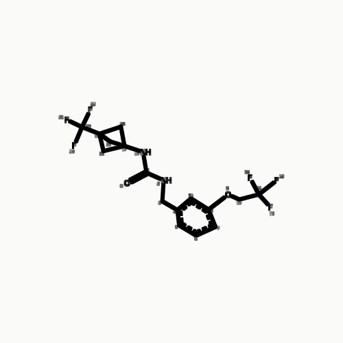 O=C(NCc1cccc(OCC(F)(F)F)c1)NC12CC(C(F)(F)F)(C1)C2